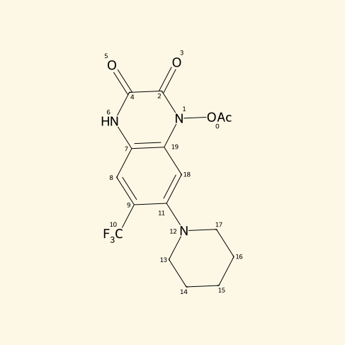 CC(=O)On1c(=O)c(=O)[nH]c2cc(C(F)(F)F)c(N3CCCCC3)cc21